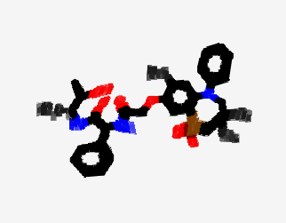 CCCCC1(CCCC)CN(c2ccccc2)c2cc(SC)c(OCC(=O)NC(C(=O)N[C@H](C(=O)O)C(C)O)c3ccccc3)cc2S(=O)(=O)C1